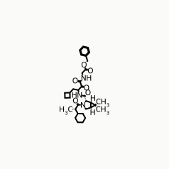 C[C@H](C(=O)N1C[C@H]2[C@@H]([C@H]1C(=O)NC(CC1CCC1)C(=O)C(=O)NCC(=O)OCc1ccccc1)C2(C)C)C1CCCCC1